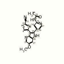 COc1cnc2c(-c3csc(C#N)n3)c(-c3ccnc(NC(C)=O)c3)[nH]c2c1